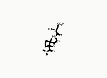 C[C@H](NC(=O)[C@@H](N)CC(=O)O)C(=O)C1(C)CCCC1(C)C(=O)N(C)C